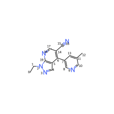 CCn1ncc2c(-c3cncc(C)c3)c(C#N)[c]nc21